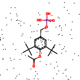 CC(=O)Oc1c(C(C)(C)C)cc(COP(=O)(O)O)cc1C(C)(C)C